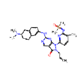 C=CCn1c(=O)c2cnc(Nc3ccc4c(c3)CCC(N(C)C)C4)nc2n1-c1ccc(C)c(N=S(C)(C)=O)n1